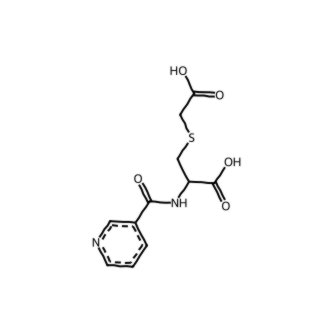 O=C(O)CSCC(NC(=O)c1cccnc1)C(=O)O